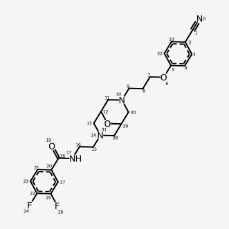 N#Cc1ccc(OCCCN2CC3CN(CCNC(=O)c4ccc(F)c(F)c4)CC(C2)O3)cc1